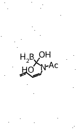 BC(O)(O)N(/C=C\C=C)C(C)=O